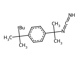 CC(C)(N=C=N)c1ccc(C(C)(C)C(C)(C)C)cc1